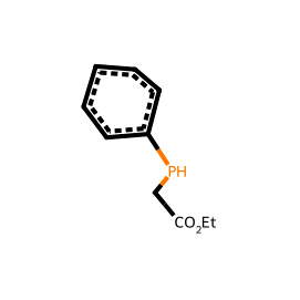 CCOC(=O)CPc1ccccc1